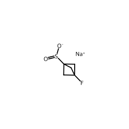 O=S([O-])C12CC(F)(C1)C2.[Na+]